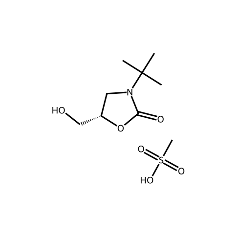 CC(C)(C)N1C[C@@H](CO)OC1=O.CS(=O)(=O)O